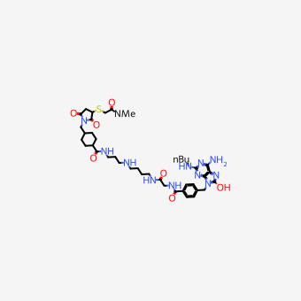 CCCCNc1nc(N)c2nc(O)n(Cc3ccc(C(=O)NCC(=O)NCCCCNCCCNC(=O)C4CCC(CN5C(=O)CC(SCC(=O)NC)C5=O)CC4)cc3)c2n1